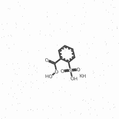 O=C(OO)c1ccccc1S(=O)(=O)O.[KH]